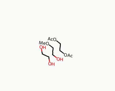 CC(=O)OCCOC(C)=O.COCCO.OCCO